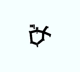 CC1(C)COCCN1.Cl